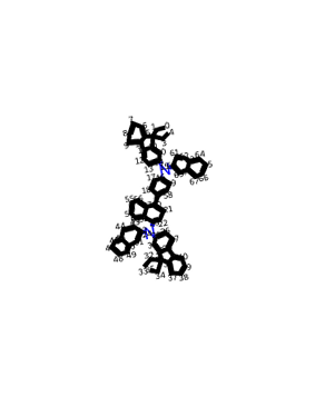 CCC1(CC)c2ccccc2-c2ccc(N(c3ccc(-c4ccc(N(c5ccc6c(c5)C(CC)(CC)c5ccccc5-6)c5ccc6ccccc6c5)c5ccccc45)cc3)c3ccc4ccccc4c3)cc21